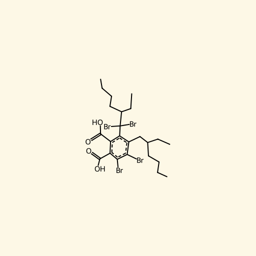 CCCCC(CC)Cc1c(Br)c(Br)c(C(=O)O)c(C(=O)O)c1C(Br)(Br)C(CC)CCCC